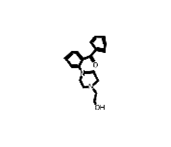 O=C(c1ccccc1)c1ccccc1N1CCN(CCO)CC1